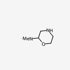 C[N]C1CNCCO1